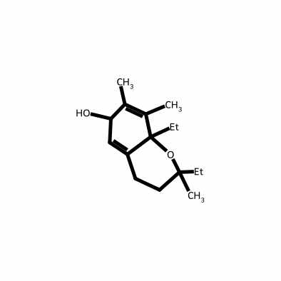 CCC1(C)CCC2=CC(O)C(C)=C(C)C2(CC)O1